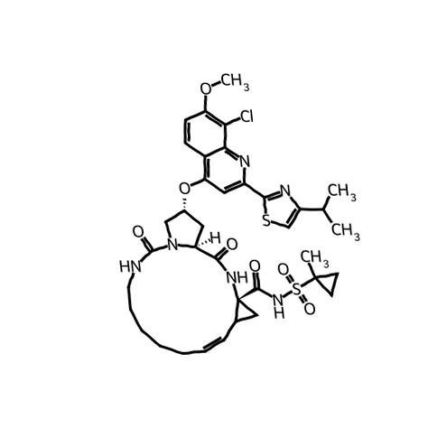 COc1ccc2c(O[C@@H]3C[C@H]4C(=O)N[C@]5(C(=O)NS(=O)(=O)C6(C)CC6)CC5/C=C\CCCCCNC(=O)N4C3)cc(-c3nc(C(C)C)cs3)nc2c1Cl